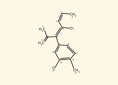 C=C(C)/C(=C(Cl)\C=C/C)c1ccc(C)c(Cl)c1